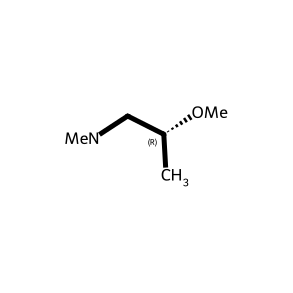 CNC[C@@H](C)OC